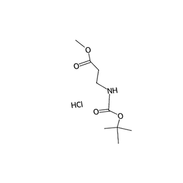 COC(=O)CCNC(=O)OC(C)(C)C.Cl